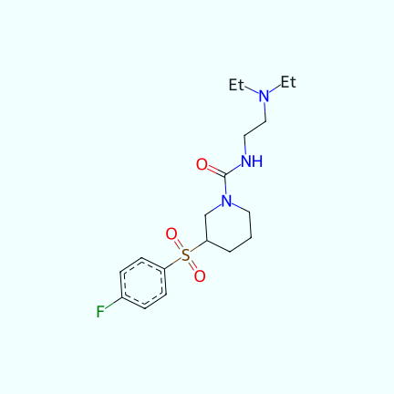 CCN(CC)CCNC(=O)N1CCCC(S(=O)(=O)c2ccc(F)cc2)C1